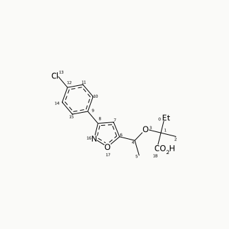 CCC(C)(OC(C)c1cc(-c2ccc(Cl)cc2)no1)C(=O)O